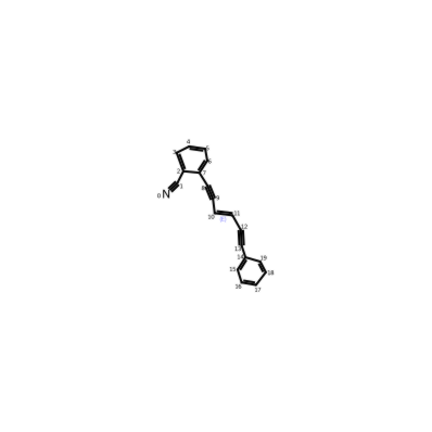 N#Cc1ccccc1C#C/C=C/C#Cc1ccccc1